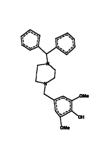 COc1cc(CN2CCN(C(c3ccccc3)c3ccccc3)CC2)cc(OC)c1O